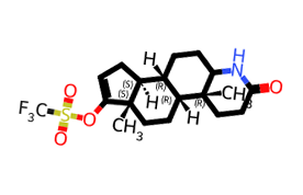 C[C@]12CCC(=O)NC1CC[C@@H]1[C@H]2CC[C@]2(C)C(OS(=O)(=O)C(F)(F)F)=CC[C@@H]12